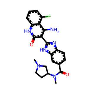 CN1CCC(N(C)C(=O)c2ccc3nc(-c4c(N)c5c(F)cccc5[nH]c4=O)[nH]c3c2)C1